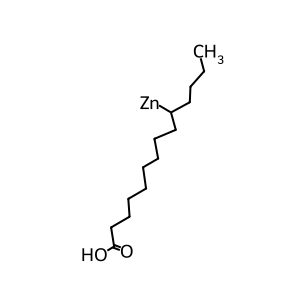 CCCC[CH]([Zn])CCCCCCCCC(=O)O